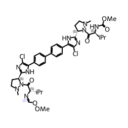 COO/C=N\[C@H](C(=O)N1[C@H](c2nc(Cl)c(-c3ccc(-c4ccc(-c5[nH]c([C@@H]6CCN(C)N6C(=O)[C@@H](NC(=O)OC)C(C)C)nc5Cl)cc4)cc3)[nH]2)CCN1C)C(C)C